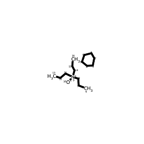 C1CCCCC1.CCC[N+]([O-])(CCC)CCC